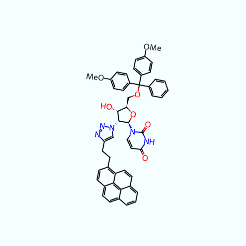 COc1ccc(C(OC[C@H]2O[C@@H](n3ccc(=O)[nH]c3=O)[C@H](n3cc(CCc4ccc5ccc6cccc7ccc4c5c67)nn3)[C@@H]2O)(c2ccccc2)c2ccc(OC)cc2)cc1